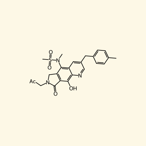 CC(=O)CN1Cc2c(c(O)c3ncc(Cc4ccc(C)cc4)cc3c2N(C)S(C)(=O)=O)C1=O